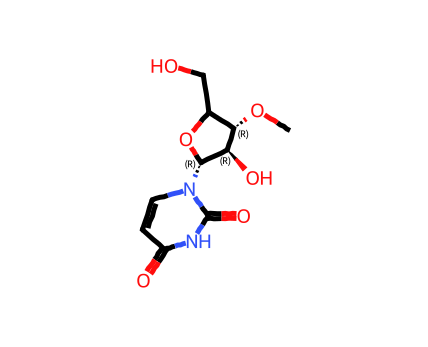 CO[C@H]1C(CO)O[C@@H](n2ccc(=O)[nH]c2=O)[C@@H]1O